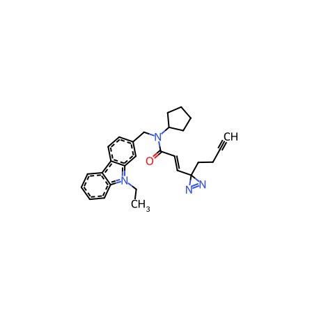 C#CCCC1(C=CC(=O)N(Cc2ccc3c4ccccc4n(CC)c3c2)C2CCCC2)N=N1